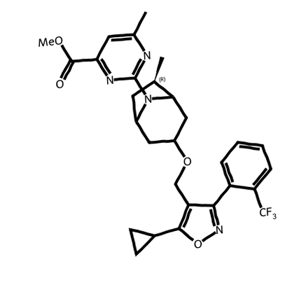 COC(=O)c1cc(C)nc(N2C3CC(OCc4c(-c5ccccc5C(F)(F)F)noc4C4CC4)CC2[C@H](C)C3)n1